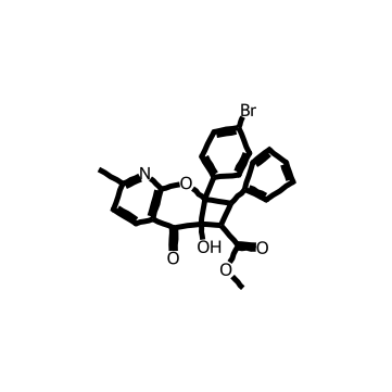 COC(=O)C1C(c2ccccc2)C2(c3ccc(Br)cc3)Oc3nc(C)ccc3C(=O)C12O